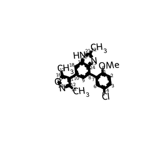 COc1ccc(Cl)cc1-c1cc(-c2c(C)noc2C)cc2[nH]c(C)nc12